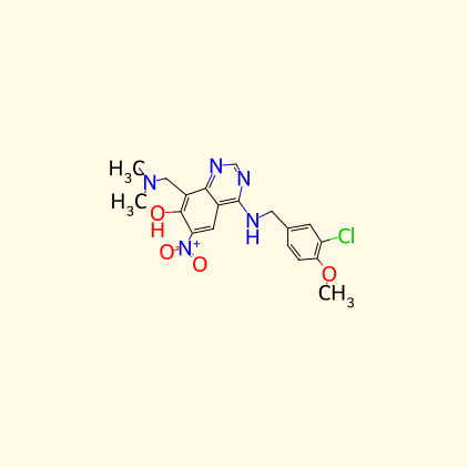 COc1ccc(CNc2ncnc3c(CN(C)C)c(O)c([N+](=O)[O-])cc23)cc1Cl